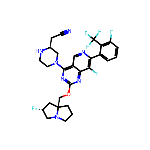 N#CC[C@H]1CN(c2nc(OC[C@@]34CCCN3C[C@H](F)C4)nc3c(F)c(-c4cccc(F)c4C(F)(F)F)ncc23)CCN1